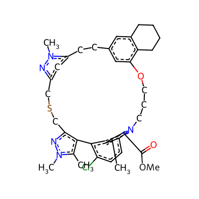 COC(=O)c1c(C)c2c3c(Cl)ccc2n1CCCOc1cc(cc2c1CCCC2)CCc1cc(nn1C)CSCc1nn(C)c(C)c1-3